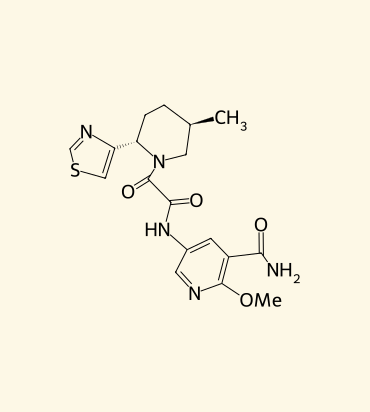 COc1ncc(NC(=O)C(=O)N2C[C@H](C)CC[C@H]2c2cscn2)cc1C(N)=O